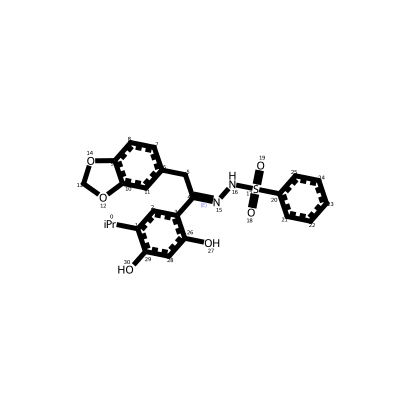 CC(C)c1cc(/C(Cc2ccc3c(c2)OCO3)=N/NS(=O)(=O)c2ccccc2)c(O)cc1O